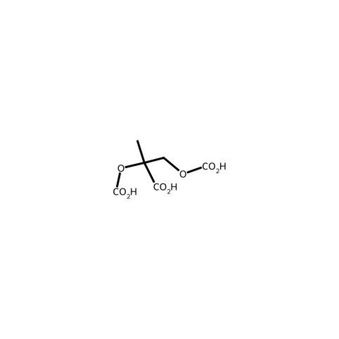 CC(COC(=O)O)(OC(=O)O)C(=O)O